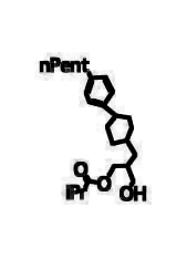 CCCCCc1ccc(C2CCC(CC(CO)COC(=O)C(C)C)CC2)cc1